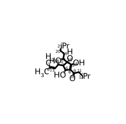 CC(C)=CCC1C(O)C(C(=O)CC(C)C)=C(O)C1(O)C(O)CCC(C)C